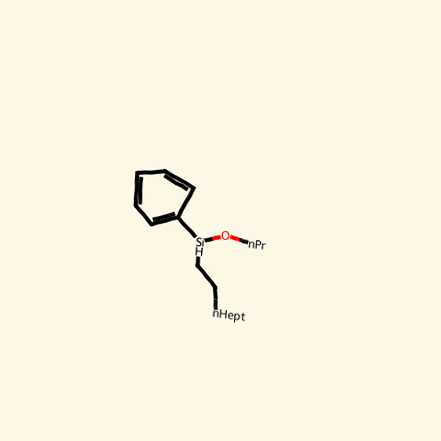 CCCCCCCCC[SiH](OCCC)c1ccccc1